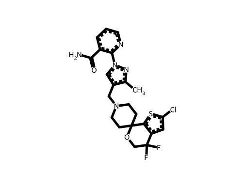 Cc1nn(-c2ncccc2C(N)=O)cc1CN1CCC2(CC1)OCC(F)(F)c1cc(Cl)sc12